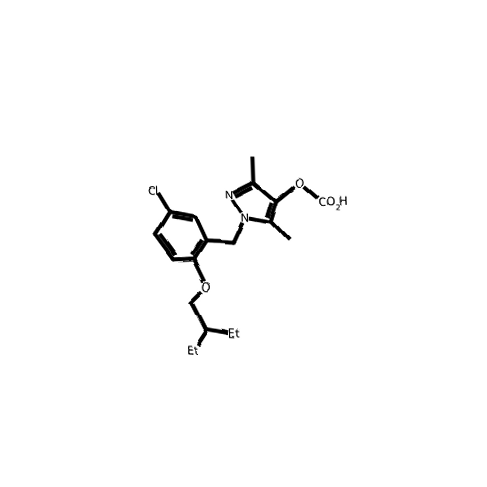 CCC(CC)COc1ccc(Cl)cc1Cn1nc(C)c(OC(=O)O)c1C